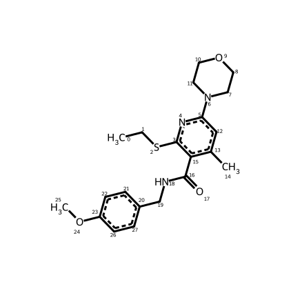 CCSc1nc(N2CCOCC2)cc(C)c1C(=O)NCc1ccc(OC)cc1